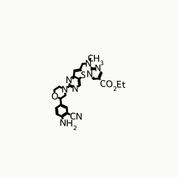 CCOC(=O)c1cnc(N(C)Cc2cc3nc(N4CCOC(c5ccc(N)c(C#N)c5)C4)ncc3s2)nc1